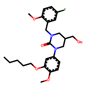 CCCCCOc1cc(N2CC(CO)CN(Cc3cc(F)ccc3OC)C2=O)ccc1OC